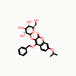 CC(C)Oc1ccc2c(OCc3ccccc3)c(O[C@@H]3O[C@H](CO)[C@@H](O)[C@H](O)[C@H]3O)c(=O)oc2c1